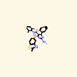 Cc1nc2cc(Oc3nc(N)nc(-c4ccccc4)c3C(=O)Nc3c(C)cccc3C)ccc2s1